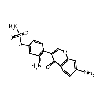 Nc1ccc2c(=O)c(-c3ccc(OS(N)(=O)=O)cc3N)coc2c1